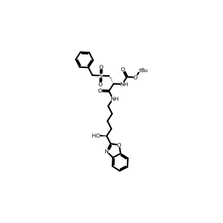 CC(C)(C)OC(=O)N[C@@H](CS(=O)(=O)Cc1ccccc1)C(=O)NCCCC[C@H](O)c1nc2ccccc2o1